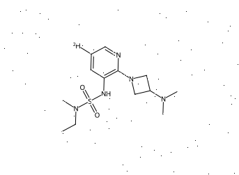 [2H]c1cnc(N2CC(N(C)C)C2)c(NS(=O)(=O)N(C)CC)c1